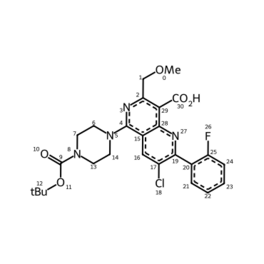 COCc1nc(N2CCN(C(=O)OC(C)(C)C)CC2)c2cc(Cl)c(-c3ccccc3F)nc2c1C(=O)O